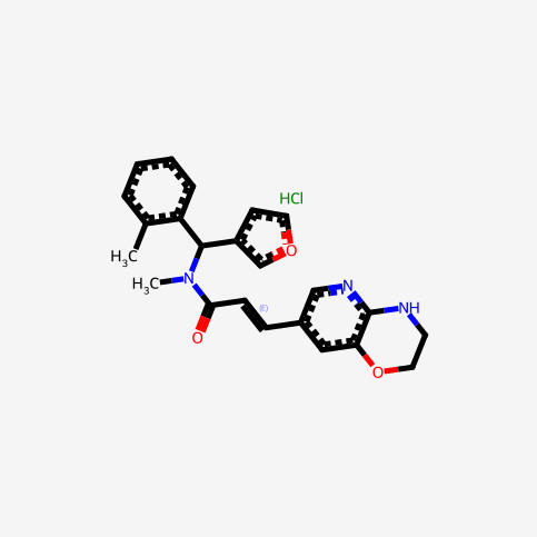 Cc1ccccc1C(c1ccoc1)N(C)C(=O)/C=C/c1cnc2c(c1)OCCN2.Cl